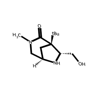 CN1C[C@H]2C[C@](C(C)(C)C)(C1=O)[C@H](CO)N2